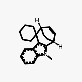 Cn1c2c(c3ccccc31)C1(CCCCC1)[C@@H]1C=C[C@H]2CC1